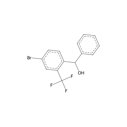 OC(c1ccccc1)c1ccc(Br)cc1C(F)(F)F